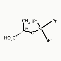 CC(C)[Si](O[C@@H](C)C(=O)O)(C(C)C)C(C)C